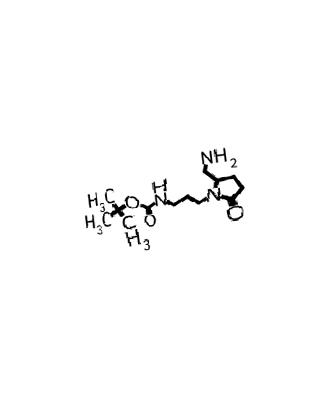 CC(C)(C)OC(=O)NCCCN1C(=O)CCC1CN